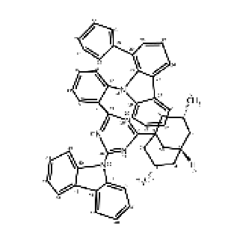 C[C@@H]1C[C@@H]2C[C@H](C)CC(c3nc(-c4ccccc4-n4c5ccccc5c5cccc(-c6ccccc6)c54)nc(-n4c5ccccc5c5ccccc54)n3)(C1)C2